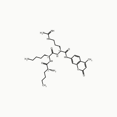 CCCC[C@H](N)C(=O)N[C@@H](CCCCN)C(=O)N[C@@H](CCCNC(=N)N)C(=O)Nc1ccc2c(C)cc(=O)oc2c1